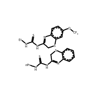 CCCNC(=S)NC1=Nc2ccccc2SC1.CCNC(=S)NC1=Nc2ccc(OC(F)(F)F)cc2SC1